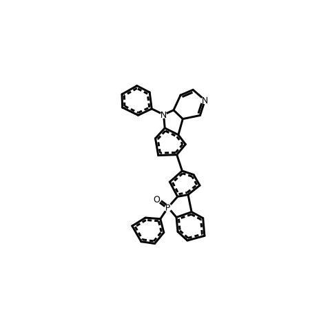 O=P1(c2ccccc2)c2ccccc2-c2ccc(-c3ccc4c(c3)C3C=NC=CC3N4c3ccccc3)cc21